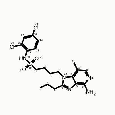 CCCc1nc2c(N)ncc(C)c2n1CCCCS(=O)(=O)Nc1ccc(Cl)cc1Cl